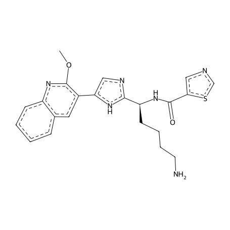 COc1nc2ccccc2cc1-c1cnc([C@H](CCCCN)NC(=O)c2cncs2)[nH]1